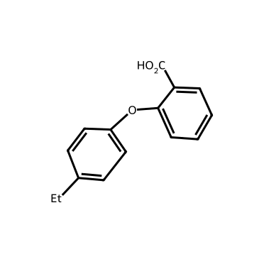 CCc1ccc(Oc2ccccc2C(=O)O)cc1